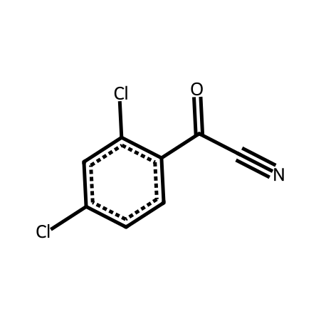 N#CC(=O)c1ccc(Cl)cc1Cl